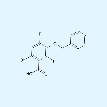 O=C(O)c1c(Br)cc(F)c(OCc2ccccc2)c1F